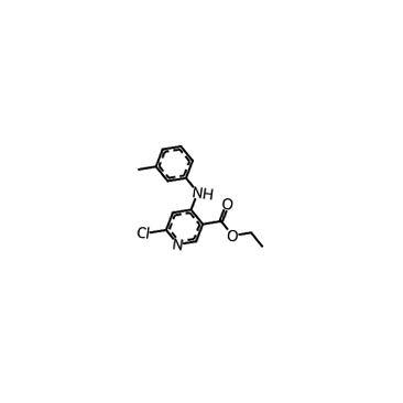 CCOC(=O)c1cnc(Cl)cc1Nc1cccc(C)c1